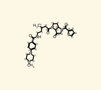 CC(CCNC(=O)c1ccc(N2CCN(C)CC2)cc1)CC(=O)N1CCC2C1C(=O)CN2C(=O)c1cccs1